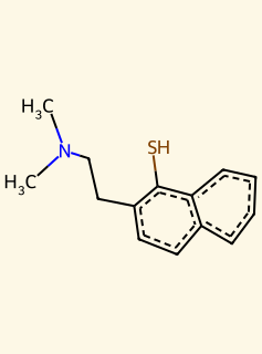 CN(C)CCc1ccc2ccccc2c1S